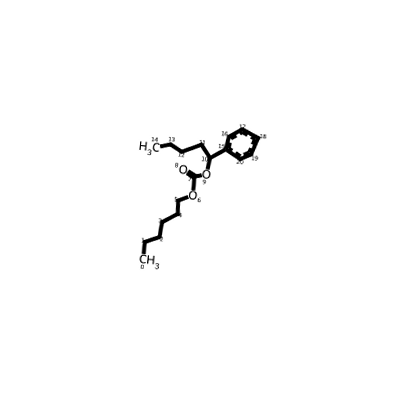 CCCCCCOC(=O)OC(CCCC)c1ccccc1